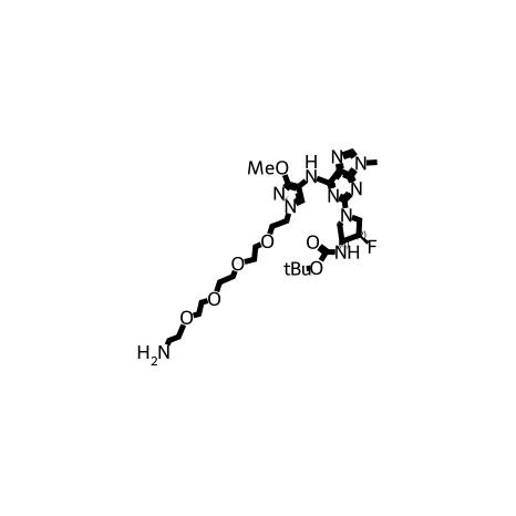 COc1nn(CCOCCOCCOCCOCCN)cc1Nc1nc(N2C[C@@H](F)[C@H](NC(=O)OC(C)(C)C)C2)nc2c1ncn2C